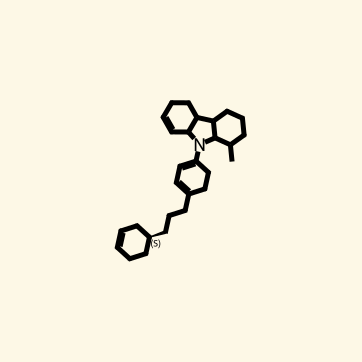 CC1CCCC2C3CCC=CC3N(C3=CC=C(CCC[C@@H]4CC=CCC4)CC3)C12